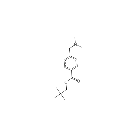 CN(C)Cc1ccc(C(=O)OCC(C)(C)C)cc1